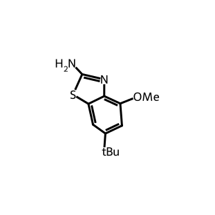 COc1cc(C(C)(C)C)cc2sc(N)nc12